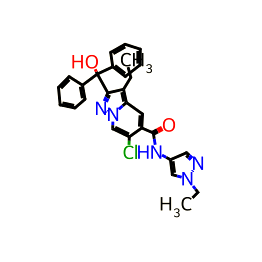 CCc1c(C(O)(c2ccccc2)c2ccccc2)nn2cc(Cl)c(C(=O)Nc3cnn(CC)c3)cc12